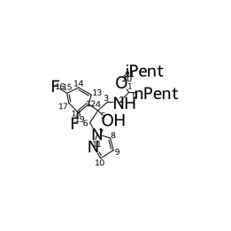 CCCCCC(NCC(O)(Cn1cccn1)c1ccc(F)cc1F)OC(C)CCC